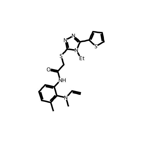 C=CN(C)c1c(C)cccc1NC(=O)CSc1nnc(-c2cccs2)n1CC